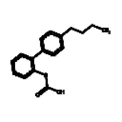 CCCCc1ccc(-c2ccccc2OC(=O)O)cc1